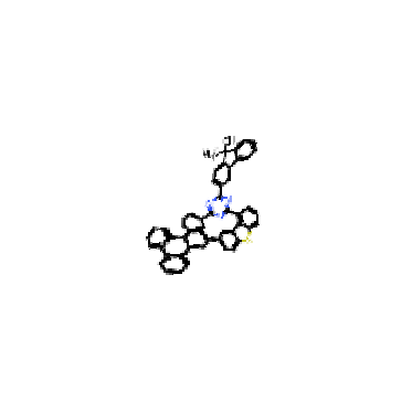 CC1(C)c2ccccc2-c2cc(-c3nc(-c4ccccc4)nc(-c4cccc5sc6ccc(-c7ccc8c9ccccc9c9ccccc9c8c7)cc6c45)n3)ccc21